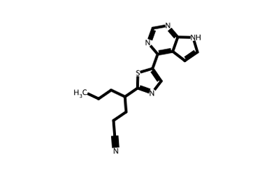 CCCC(CCC#N)c1ncc(-c2ncnc3[nH]ccc23)s1